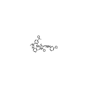 CCNc1ccc(C(C)=O)cc1N=C1SC(=CNCc2cccc(OC)c2)C(=O)N1Cc1ccccc1